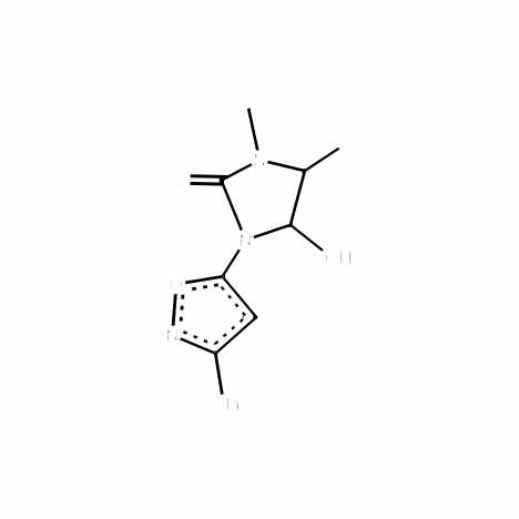 CC(C)c1cc(N2C(=O)N(C)C(C)C2O)on1